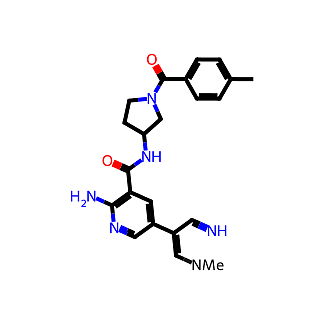 CN/C=C(\C=N)c1cnc(N)c(C(=O)NC2CCN(C(=O)c3ccc(C)cc3)C2)c1